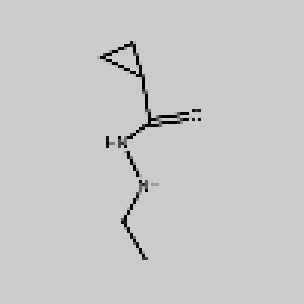 CCNNC(=O)C1CC1